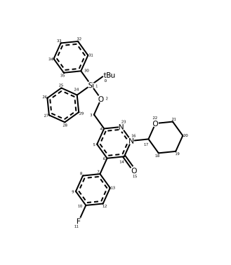 CC(C)(C)[Si](OCc1cc(-c2ccc(F)cc2)c(=O)n(C2CCCCO2)n1)(c1ccccc1)c1ccccc1